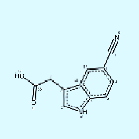 N#Cc1ccc2[nH]cc(CC(=O)O)c2c1